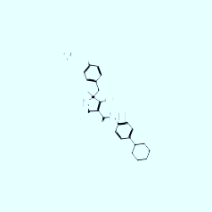 COc1ccc(CC2(C)NC(=O)C(C(=O)Nc3ccc(C4CCCCC4)cc3)=C2O)cc1